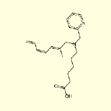 C=C/C=C\C=C(/C)CN(CCCCCC(=O)O)Cc1ccccn1